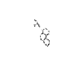 C=CC(=O)OCc1cccc2c1ccc1ccccc12